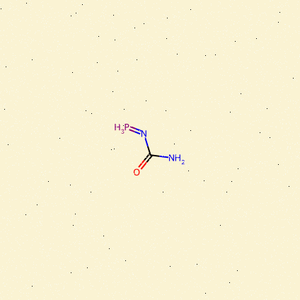 NC(=O)N=[PH3]